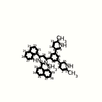 CC1=CC=C(c2cc(C3=CNC(C)C=C3)cc(C3=CC(c4cccc5ccccc45)NC(c4cccc5ccccc45)N3C)c2)CN1